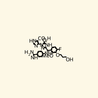 COc1c([C@H](Nc2ccc(C(=N)N)cc2)c2nn(-c3nc[nH]c3C(=O)O)c(=O)[nH]2)ccc(F)c1OCCCO